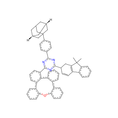 CC1(C)C2=C(C=CC(c3nc(-c4ccc(C56CC7C[C@H](C5)C[C@@H](C7)C6)cc4)nc(-c4cccc5c6ccccc6oc6ccccc6c6ccccc6c45)n3)C2)c2ccccc21